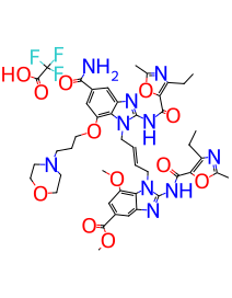 CCc1nc(C)oc1C(=O)Nc1nc2cc(C(=O)OC)cc(OC)c2n1C/C=C/Cn1c(NC(=O)c2oc(C)nc2CC)nc2cc(C(N)=O)cc(OCCCN3CCOCC3)c21.O=C(O)C(F)(F)F